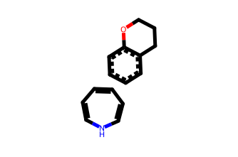 C1=CC=CNC=C1.c1ccc2c(c1)CCCO2